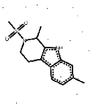 Cc1ccc2c3c([nH]c2c1)C(C)N(S(C)(=O)=O)CC3